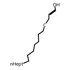 CCCCCCCCCCCCCCCC/C=C/O